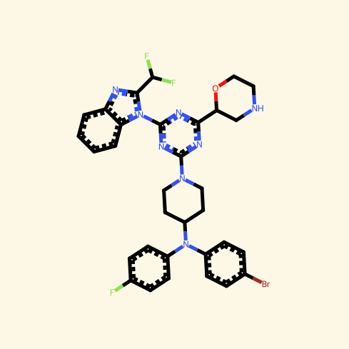 Fc1ccc(N(c2ccc(Br)cc2)C2CCN(c3nc(C4CNCCO4)nc(-n4c(C(F)F)nc5ccccc54)n3)CC2)cc1